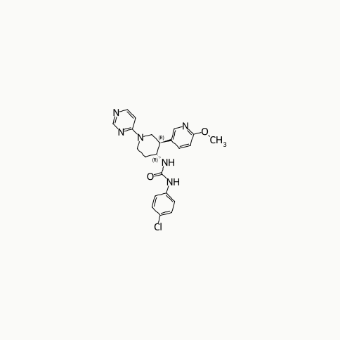 COc1ccc([C@@H]2CN(c3ccncn3)CC[C@H]2NC(=O)Nc2ccc(Cl)cc2)cn1